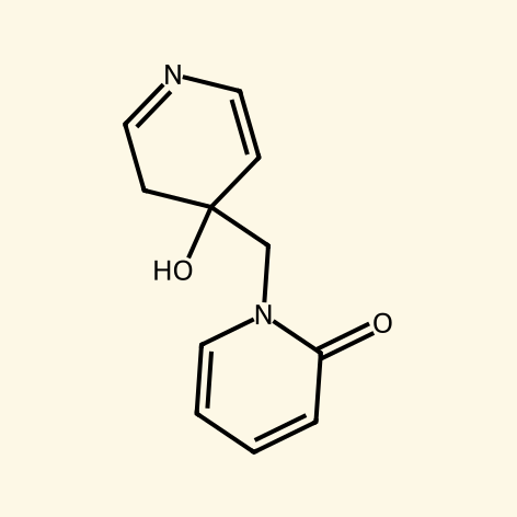 O=c1ccccn1CC1(O)C=CN=CC1